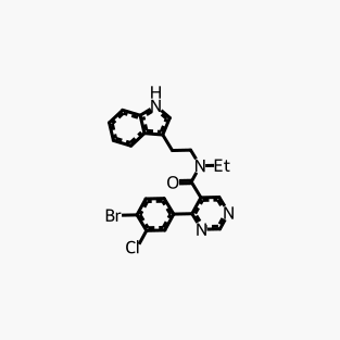 CCN(CCc1c[nH]c2ccccc12)C(=O)c1cncnc1-c1ccc(Br)c(Cl)c1